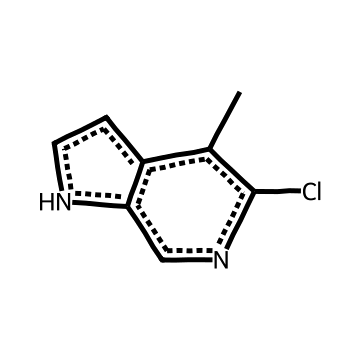 Cc1c(Cl)ncc2[nH]ccc12